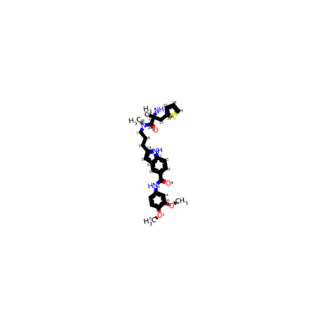 COc1ccc(NC(=O)c2ccc3[nH]c(CCCN(C)C(=O)C(C)(N)Cc4cccs4)cc3c2)cc1OC